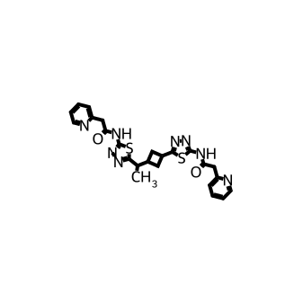 CC(c1nnc(NC(=O)Cc2ccccn2)s1)C1CC(c2nnc(NC(=O)Cc3ccccn3)s2)C1